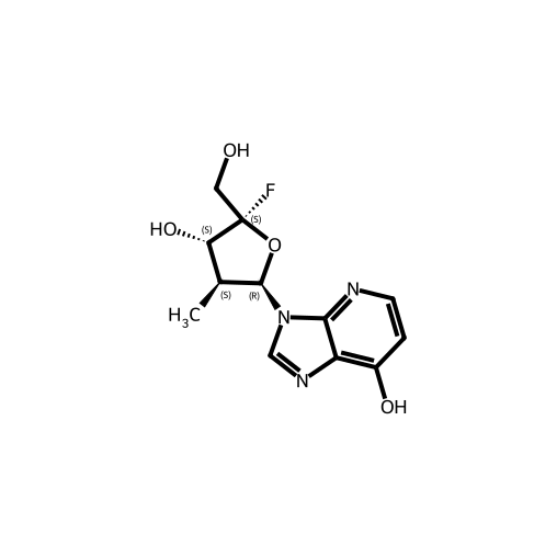 C[C@@H]1[C@H](n2cnc3c(O)ccnc32)O[C@](F)(CO)[C@H]1O